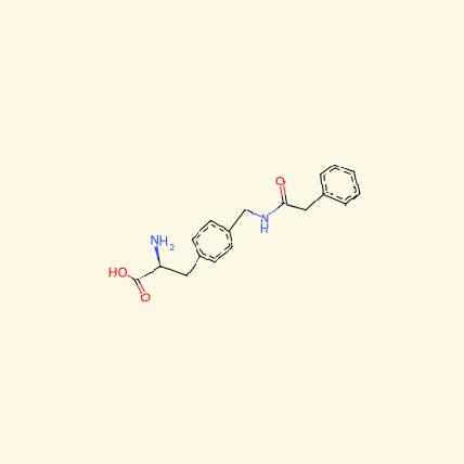 N[C@@H](Cc1ccc(CNC(=O)Cc2ccccc2)cc1)C(=O)O